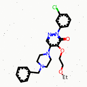 CCOCCOc1c(N2CCN(Cc3ccccc3)CC2)cnn(-c2cccc(Cl)c2)c1=O